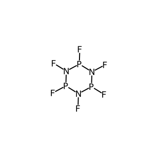 FN1P(F)N(F)P(F)N(F)P1F